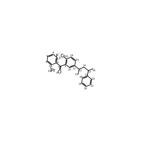 CC(C)c1ccccc1C(=O)c1cc(C(C)CC(C)c2ccccc2)ccc1C(F)(F)F